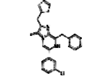 C=c1c(CC2=CC=CC2)nc2n1C=C(c1cccc(Cl)c1)NC=2Cc1ccccc1